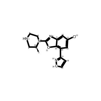 C[C@H]1CNCCN1c1nc2cc(Cl)cc(-c3ccon3)c2o1